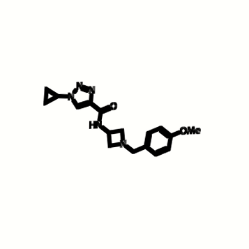 COc1ccc(CN2CC(NC(=O)c3cn(C4CC4)nn3)C2)cc1